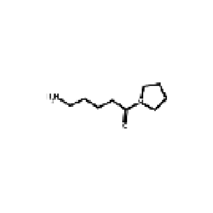 NCCC[CH]C(=O)N1CCCC1